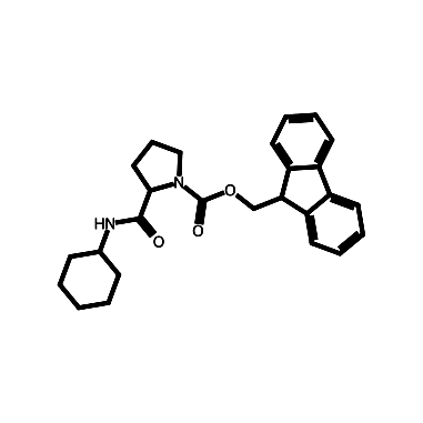 O=C(NC1CCCCC1)C1CCCN1C(=O)OCC1c2ccccc2-c2ccccc21